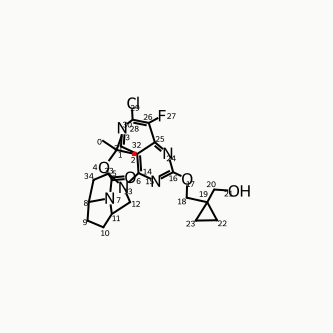 CC(C)(C)OC(=O)N1C2CCC1CN(c1nc(OCC3(CO)CC3)nc3c(F)c(Cl)ncc13)CC2